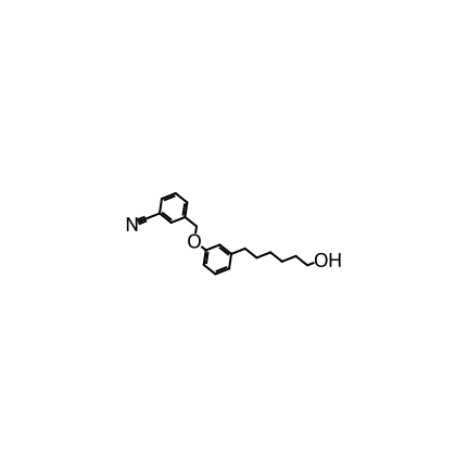 N#Cc1cccc(COc2cccc(CCCCCCO)c2)c1